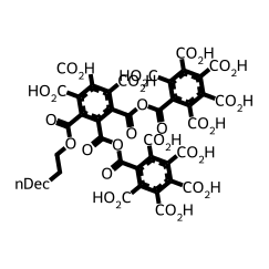 CCCCCCCCCCCCOC(=O)c1c(C(=O)O)c(C(=O)O)c(C(=O)O)c(C(=O)OC(=O)c2c(C(=O)O)c(C(=O)O)c(C(=O)O)c(C(=O)O)c2C(=O)O)c1C(=O)OC(=O)c1c(C(=O)O)c(C(=O)O)c(C(=O)O)c(C(=O)O)c1C(=O)O